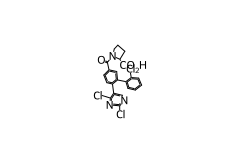 O=C(O)C1CCCN1C(=O)c1ccc(-c2cnc(Cl)nc2Cl)c(-c2ccccc2Cl)c1